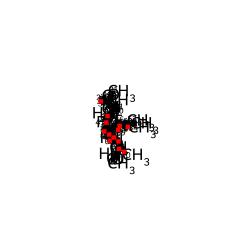 CCCN(Cc1nc2cc([C@H]3CC[C@H](c4cc5nc([C@@H]6CCCN6C(=O)C(NC(=O)OC)C6CCCC6)[nH]c5cc4F)N3c3cc(F)c(N4CCC(C(C)(C)C)CC4)c(F)c3)c(F)cc2[nH]1)C(=O)CNC(=O)OC